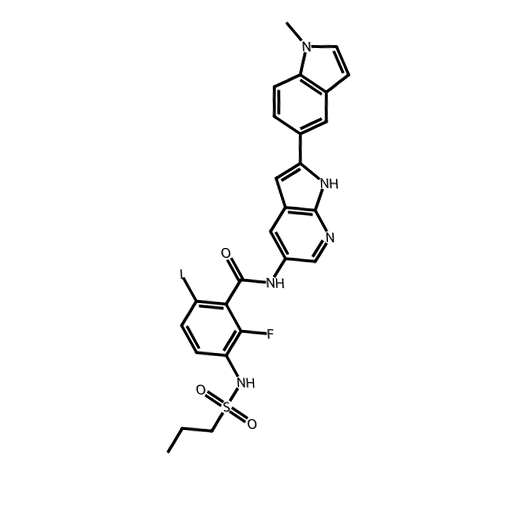 CCCS(=O)(=O)Nc1ccc(I)c(C(=O)Nc2cnc3[nH]c(-c4ccc5c(ccn5C)c4)cc3c2)c1F